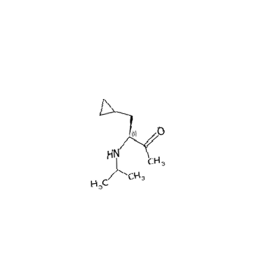 CC(=O)[C@H](CC1CC1)NC(C)C